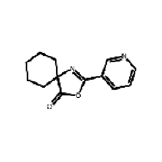 O=C1OC(c2cccnc2)=NC12CCCCC2